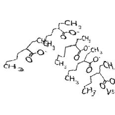 CCCCC(CC)C(=O)[O-].CCCCC(CC)C(=O)[O-].CCCCC(CC)C(=O)[O-].CCCCC(CC)C(=O)[O-].CCCCC(CC)C(=O)[O-].[V+5]